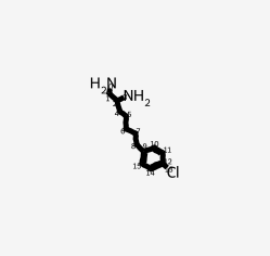 NCC(N)CCCCCc1ccc(Cl)cc1